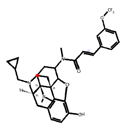 CN(C(=O)/C=C/c1cccc(OC(F)(F)F)c1)C1CC[C@@]2(N(C)C)[C@H]3Cc4ccc(O)c5c4[C@@]2(CCN3CC2CC2)C1O5